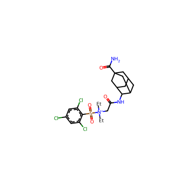 CC[N+](CC)(CC(=O)NC1C2CC3CC1CC(C(N)=O)(C3)C2)S(=O)(=O)c1c(Cl)cc(Cl)cc1Cl